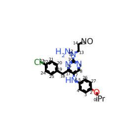 CC(C)Oc1ccc(Nc2cnc(N(N)CCN=O)nc2Cc2ccc(Cl)cc2)cc1